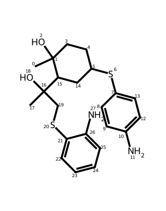 CC1(O)CCC(Sc2ccc(N)cc2)CC1C(C)(O)CSc1ccccc1N